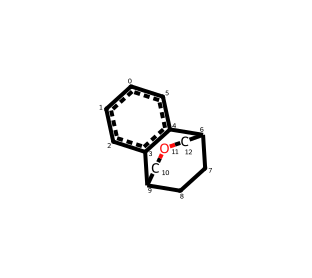 c1ccc2c(c1)C1CCC2COC1